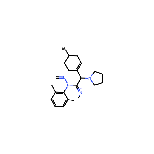 C=NN(/C(=N\C)C(C1=CCC(CC)CC1)N1CCCC1)c1c(C)cccc1C